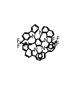 N#Cc1c(-n2c3ccccc3c3ccc(C(F)(F)F)cc32)c(C#N)c(-n2c3ccccc3c3ccc4ccccc4c32)c(-n2c3ccccc3c3ccc(C(F)(F)F)cc32)c1-n1c2ccccc2c2ccc3ccccc3c21